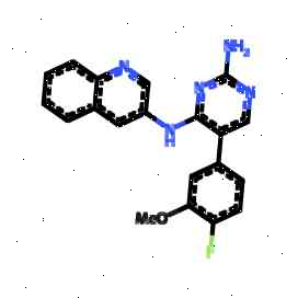 COc1cc(-c2cnc(N)nc2Nc2cnc3ccccc3c2)ccc1F